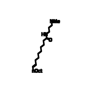 CCCCCCCCC=CCCCCCCCC(=O)NCCCNC